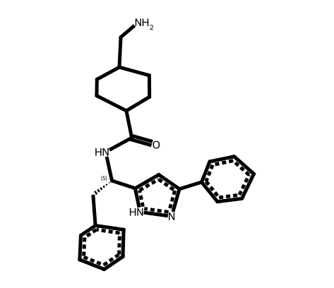 NCC1CCC(C(=O)N[C@@H](Cc2ccccc2)c2cc(-c3ccccc3)n[nH]2)CC1